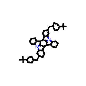 CC(C)(C)c1ccc(Cc2ccc3c4c5c6ccccc6n6c7cc(Cc8ccc(C(C)(C)C)cc8)ccc7c(c7c8ccccc8n(c3c2)c74)c56)cc1